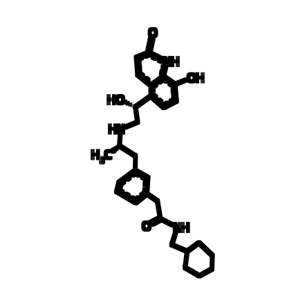 C[C@H](Cc1cccc(CC(=O)NCC2CCCCC2)c1)NC[C@H](O)c1ccc(O)c2[nH]c(=O)ccc12